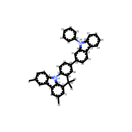 Cc1ccc2c(c1)c1cc(C)cc3c1n2-c1ccc(-c2ccc4c5ccccc5n(-c5ccccc5)c4c2)cc1C3(C)C